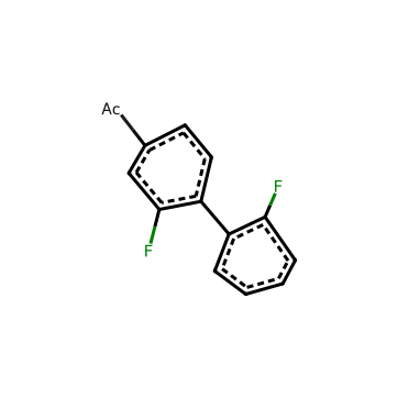 CC(=O)c1ccc(-c2ccccc2F)c(F)c1